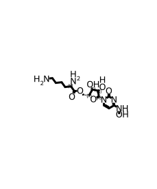 NCCCC[C@H](N)C(=O)OC[C@H]1O[C@@H](n2ccc(NO)nc2=O)[C@H](O)[C@@H]1O